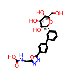 O=C(O)NCc1nnc(-c2ccc(-c3cccc([C@H]4O[C@H](CO)[C@@H](O)[C@H](O)[C@@H]4O)c3)cc2)o1